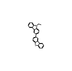 CCn1c2ccccc2c2cc(-c3ccc4sc5ccccc5c4c3)ccc21